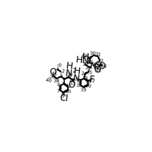 C[C@@H]1C[C@H]([C@H](c2ccc(Cl)cc2)[C@H](N)C(=O)Nc2cccc(F)c2CC[C@H]2CN[C@@H]3CCCS(=O)(=O)N2C3)C[C@H](C)O1